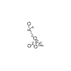 COC(=O)[C@H](Cc1ccc(OCCCNC(Cc2ccccc2)C2CC2)cc1)Nc1ccccc1C(=O)c1ccccc1